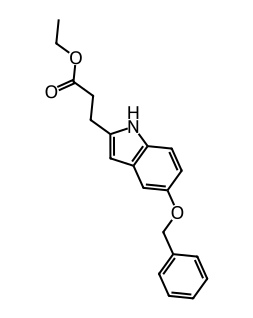 CCOC(=O)CCc1cc2cc(OCc3ccccc3)ccc2[nH]1